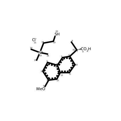 COc1ccc2cc([C@H](C)C(=O)O)ccc2c1.C[N+](C)(C)CCS.[Cl-]